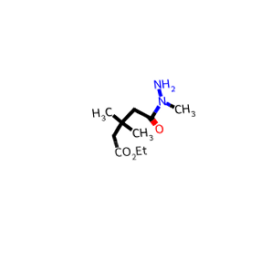 CCOC(=O)CC(C)(C)CC(=O)N(C)N